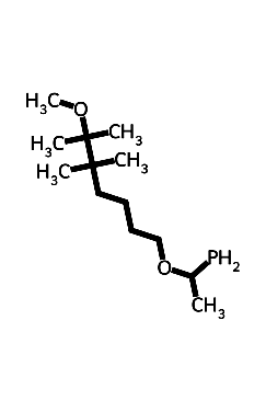 COC(C)(C)C(C)(C)CCCCOC(C)P